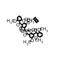 COc1cc(C(=O)c2c(OC)cccc2OC)c(OC)c(C(=O)[P](=O)C(=O)c2cc(OC)cc(C(=O)c3c(OC)cccc3OC)c2OC)c1.c1cc2ccc1-2